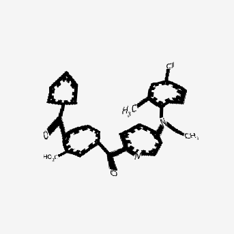 Cc1cc(Cl)ccc1N(C)c1ccc(C(=O)c2ccc(C(=O)c3ccccc3)c(C(=O)O)c2)nc1